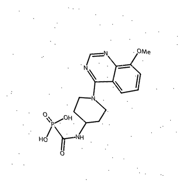 COc1cccc2c(N3CCC(NC(=O)P(=O)(O)O)CC3)ncnc12